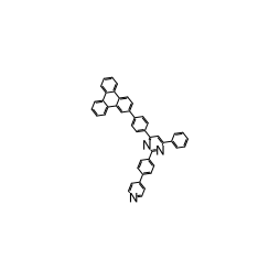 c1ccc(-c2cc(-c3ccc(-c4ccc5c6ccccc6c6ccccc6c5c4)cc3)nc(-c3ccc(-c4ccncc4)cc3)n2)cc1